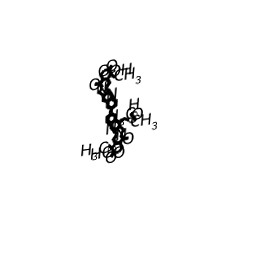 CC[C@@]1(O)C(=O)OCc2c1cc1n(c2=O)Cc2cc3cc(-c4ccc5nc6c(c(CC[SH](C)(C)=O)c5c4)Cn4c-6cc5c(c4=O)COC(=O)[C@]5(O)CC)ccc3nc2-1